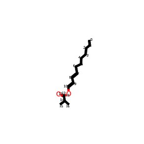 CCCCCCCC=CC=COC(=O)C(C)C